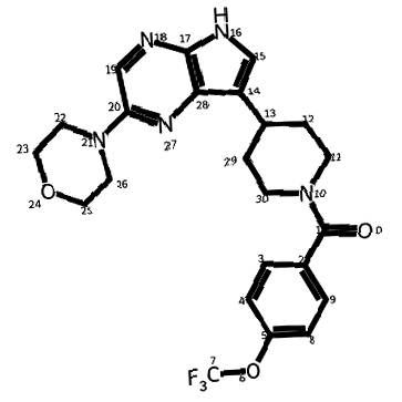 O=C(c1ccc(OC(F)(F)F)cc1)N1CCC(c2c[nH]c3ncc(N4CCOCC4)nc23)CC1